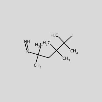 CC(C)(CC(C)(C)C(C)(C)I)N=N